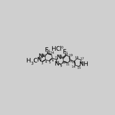 Cl.Cn1cc2cc(-c3ncc4cc(C5=CCNCC5)cc(F)c4n3)cc(F)c2n1